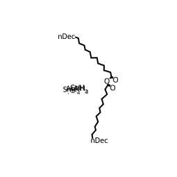 CCCCCCCCCCCCCCCCCCCCCC(=O)OC(=O)CCCCCCCCCCCCCCCCCCCCC.[Ag].[AlH3].[CaH2].[SnH4]